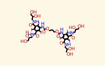 O=C(Nc1c(I)c(C(=O)NCC(O)CO)c(I)c(C(=O)NCC(O)CO)c1I)OCCCOC(=O)Nc1c(I)c(C(=O)NCC(O)CO)c(I)c(C(=O)NCC(O)CO)c1I